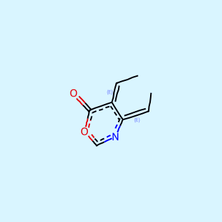 C/C=c1/ncoc(=O)/c1=C/C